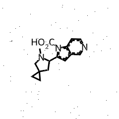 CN1CC2(CC2)CC1c1cc2cnccc2n1C(=O)O